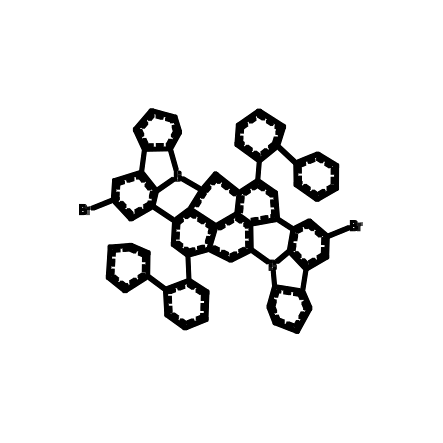 Brc1cc2c3c(c1)-c1cc(-c4ccccc4-c4ccccc4)c4cc5c6c(cc(-c7ccccc7-c7ccccc7)c7cc(c1c4c76)B3c1ccccc1-2)-c1cc(Br)cc2c1B5c1ccccc1-2